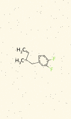 C=C[C](C)Cc1ccc(F)c(F)c1